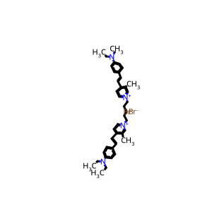 CCN(CC)c1ccc(/C=C/c2cc[n+](CCCCC[n+]3ccc(/C=C/c4ccc(N(CC)CC)cc4)c(C)c3)cc2C)cc1.[Br-].[Br-]